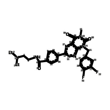 CCN(CC)CCNC(=O)c1ccc(-c2nnc3c(n2)c(=O)n(C)c(=O)n3Cc2ccc(F)c(F)c2)cc1